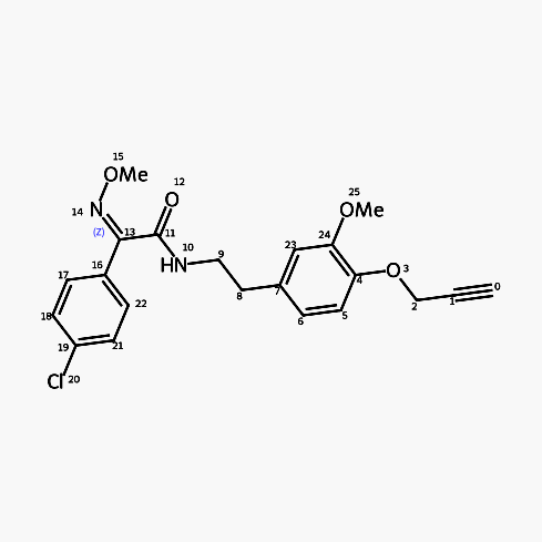 C#CCOc1ccc(CCNC(=O)/C(=N\OC)c2ccc(Cl)cc2)cc1OC